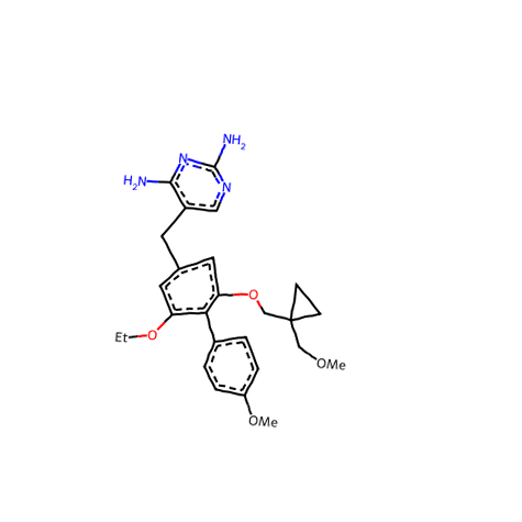 CCOc1cc(Cc2cnc(N)nc2N)cc(OCC2(COC)CC2)c1-c1ccc(OC)cc1